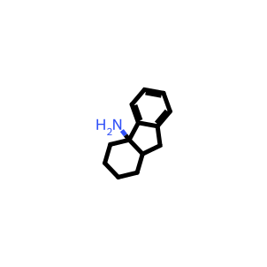 NC12CCCCC1Cc1ccccc12